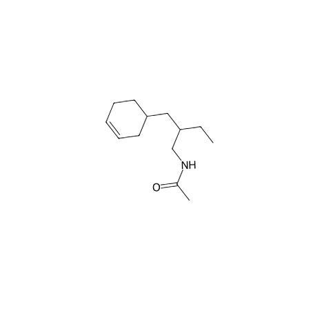 CCC(CNC(C)=O)CC1CC=CCC1